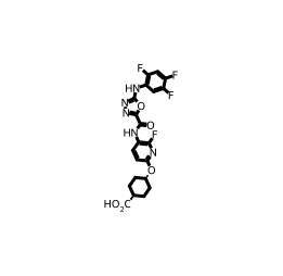 O=C(Nc1ccc(O[C@H]2CC[C@H](C(=O)O)CC2)nc1F)c1nnc(Nc2cc(F)c(F)cc2F)o1